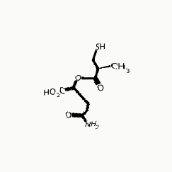 C[C@H](CS)C(=O)OC(CC(N)=O)C(=O)O